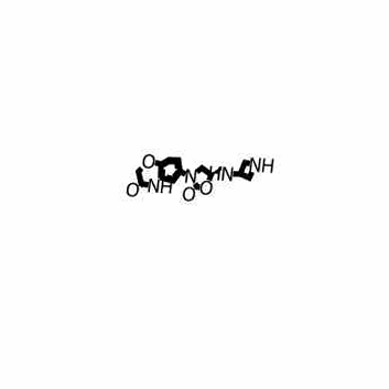 O=C1COc2ccc(N3C[C@@H](CNC4CNC4)OC3=O)cc2N1